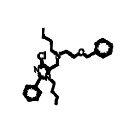 CCCCN(CCOCc1ccccc1)Cc1c(Cl)nc(-c2ccccc2)n1CCCC